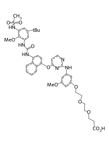 COc1cc(Nc2nccc(Oc3ccc(NC(=O)Nc4cc(C(C)(C)C)cc(NS(C)(=O)=O)c4OC)c4ccccc34)n2)cc(OCCOCCOCCC(=O)O)c1